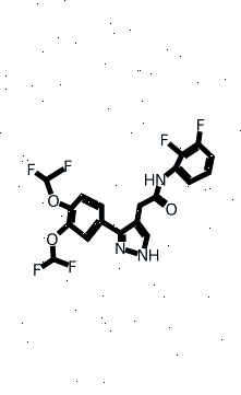 O=C(Cc1c[nH]nc1-c1ccc(OC(F)F)c(OC(F)F)c1)Nc1cccc(F)c1F